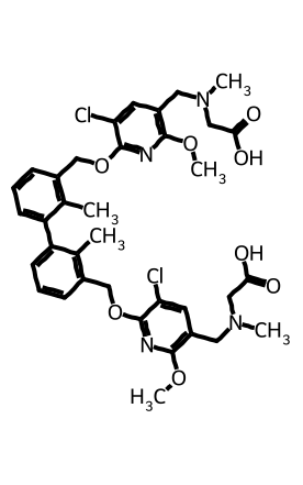 COc1nc(OCc2cccc(-c3cccc(COc4nc(OC)c(CN(C)CC(=O)O)cc4Cl)c3C)c2C)c(Cl)cc1CN(C)CC(=O)O